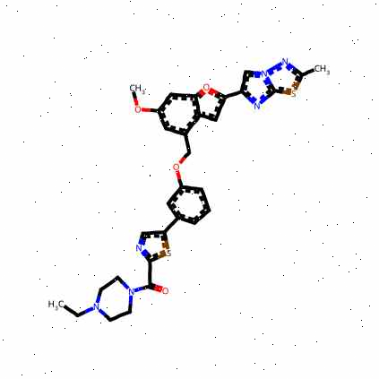 CCN1CCN(C(=O)c2ncc(-c3cccc(OCc4cc(OC)cc5oc(-c6cn7nc(C)sc7n6)cc45)c3)s2)CC1